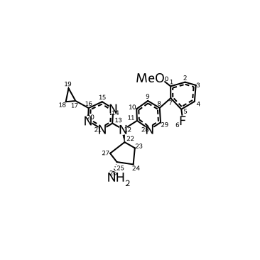 COc1cccc(F)c1-c1ccc(N(c2ncc(C3CC3)nn2)[C@H]2CC[C@H](N)C2)nc1